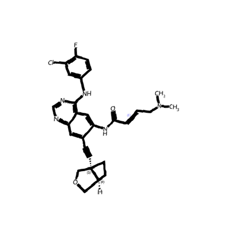 CN(C)C/C=C/C(=O)Nc1cc2c(Nc3ccc(F)c(Cl)c3)ncnc2cc1C#C[C@]12CC[C@H]1COC2